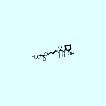 C=CC(=O)OCCCCNC(=O)Nc1ccccc1O